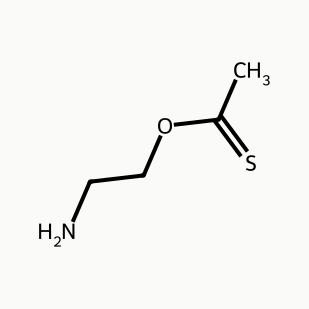 CC(=S)OCCN